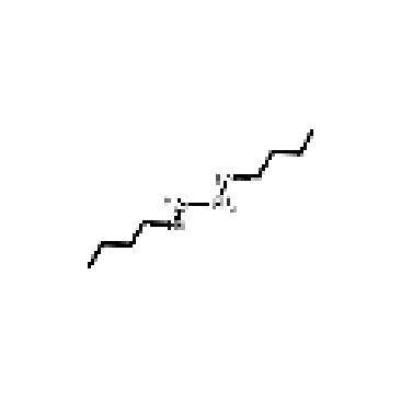 CCCCN[SiH2][SiH2]NCCCC